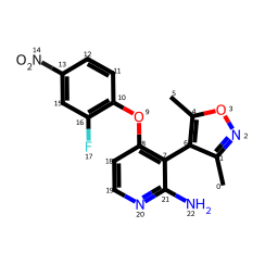 Cc1noc(C)c1-c1c(Oc2ccc([N+](=O)[O-])cc2F)ccnc1N